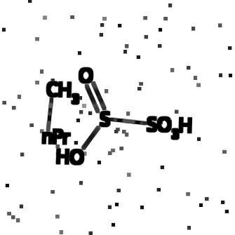 CCCC.O=S(O)S(=O)(=O)O